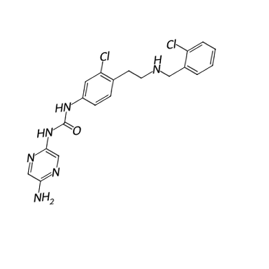 Nc1cnc(NC(=O)Nc2ccc(CCNCc3ccccc3Cl)c(Cl)c2)cn1